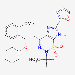 COc1ccccc1[C@H](CC1=NN(C(C)(C)C(=O)O)S(=O)(=O)c2c1nc(-c1ncco1)n2C)OC1CCCCC1